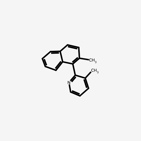 Cc1cccnc1-c1c(C)ccc2ccccc12